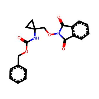 O=C(NC1(CON2C(=O)c3ccccc3C2=O)CC1)OCc1ccccc1